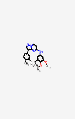 CCc1cc(Nc2ccn3ncc(-c4ccc(C)c(C)c4)c3n2)cc(OC)c1OC